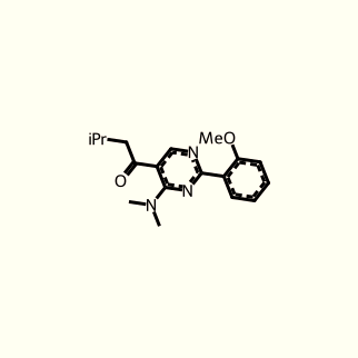 COc1ccccc1-c1ncc(C(=O)CC(C)C)c(N(C)C)n1